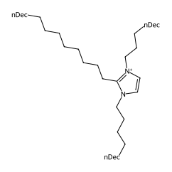 CCCCCCCCCCCCCCCCCCc1n(CCCCCCCCCCCCCC)cc[n+]1CCCCCCCCCCCCC